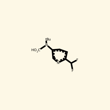 CC(C)(C)N(C(=O)O)c1ccc(C(F)F)nc1